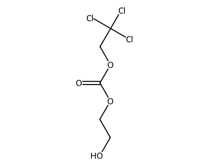 O=C(OCCO)OCC(Cl)(Cl)Cl